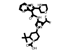 CC(C)(C)C1CC(n2cc(NC(=O)c3c(C4COCCN4)nn4cccnc34)c(C(F)F)n2)CCN1C(=O)O